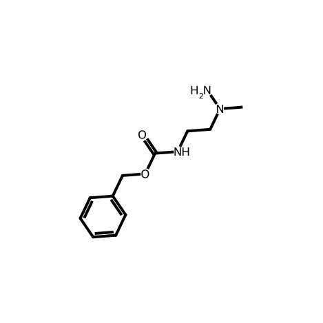 CN(N)CCNC(=O)OCc1ccccc1